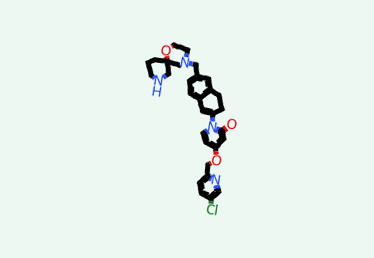 O=c1cc(OCc2ccc(Cl)cn2)ccn1C1=Cc2ccc(CN3CCOC4(CCCNC4)C3)cc2CC1